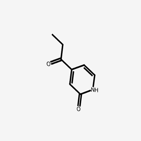 CCC(=O)c1cc[nH]c(=O)c1